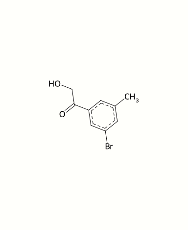 Cc1cc(Br)cc(C(=O)CO)c1